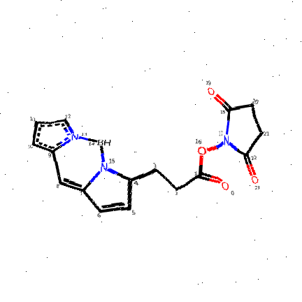 O=C(CCC1C=CC2=Cc3cccn3BN21)ON1C(=O)CCC1=O